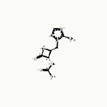 Cc1ncnn1C[C@@H]1NC(=O)[C@H]1NC(=O)O